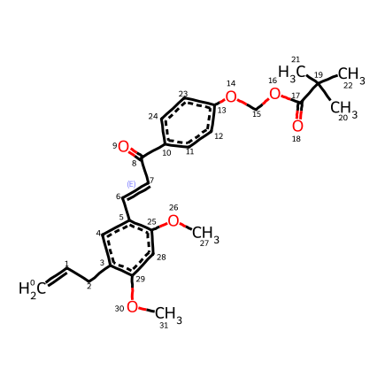 C=CCc1cc(/C=C/C(=O)c2ccc(OCOC(=O)C(C)(C)C)cc2)c(OC)cc1OC